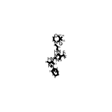 Cc1nn(C2CC3CCC(C2)N3C)cc1Nc1ncc(C(F)F)c(NCCCN2CCOCC(C)(C)C2=O)n1